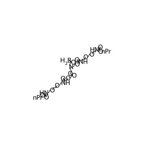 BC(=O)CN(CCOC(=O)COCC(=O)NCCOCCOCCNC(=O)OCCC)CCOC(=O)NCCOCCOCCNC(=O)OCCC